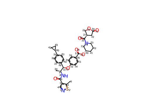 Cc1sncc1C(=O)N[C@@H](C)[C@H](Oc1ccc(C(=O)O[C@H]2CCCN(C(=O)[C@H]3COC(=O)C3)C2)cc1)c1ccc(C2CC2)cc1